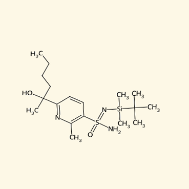 CCCCC(C)(O)c1ccc(S(N)(=O)=N[Si](C)(C)C(C)(C)C)c(C)n1